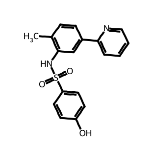 Cc1ccc(-c2ccccn2)cc1NS(=O)(=O)c1ccc(O)cc1